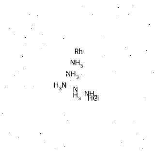 Cl.N.N.N.N.N.[Rh]